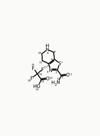 NC(=O)c1nc2c(s1)CNCC2.O=C(O)C(F)(F)F